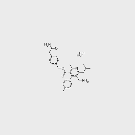 Cc1ccc(-c2c(CN)c(CC(C)C)nc(C)c2C(=O)OCc2ccc(CC(N)=O)cc2)cc1.Cl.Cl